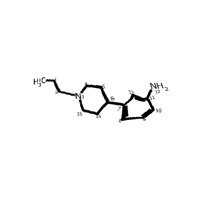 CCCN1CCC(c2cccc(N)c2)CC1